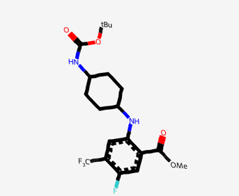 COC(=O)c1cc(F)c(C(F)(F)F)cc1NC1CCC(NC(=O)OC(C)(C)C)CC1